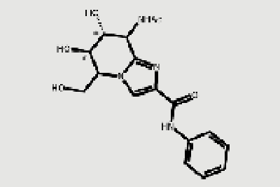 CC(=O)NC1c2nc(C(=O)Nc3ccccc3)cn2C(CO)[C@@H](O)[C@@H]1O